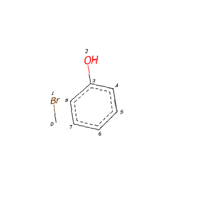 CBr.Oc1ccccc1